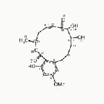 COc1cc(O)c2c(c1)CCC[C@H](O)C(O)C(=O)/C=C\C[C@H](C)OC2=O